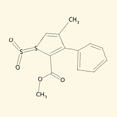 COC(=O)C1=C(c2ccccc2)C(C)=CS1=S(=O)=O